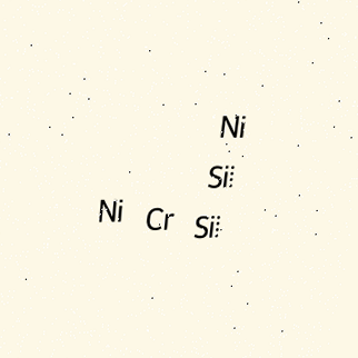 [Cr].[Ni].[Ni].[Si].[Si]